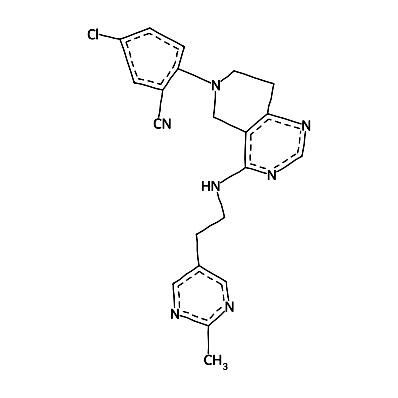 Cc1ncc(CCNc2ncnc3c2CN(c2ccc(Cl)cc2C#N)CC3)cn1